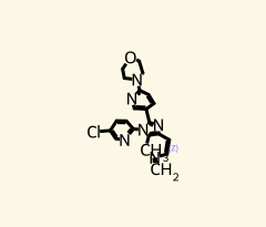 C=N/C=C\c1nc(-c2ccc(N3CCOCC3)nc2)n(-c2ccc(Cl)cn2)c1C